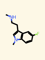 CNCCc1cn(C)c2ccc(F)cc12